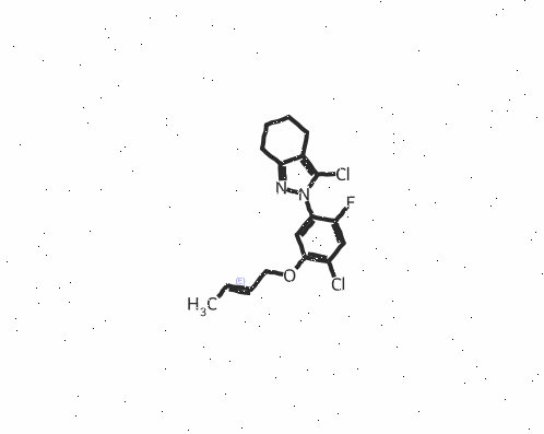 C/C=C/COc1cc(-n2nc3c(c2Cl)CCCC3)c(F)cc1Cl